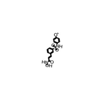 COc1ccc(NS(=O)(=O)c2cccc(/C=C/C(=O)NO)c2)cc1